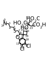 CN(C)CCCSCC(=O)C1(c2ccc(Cl)c(Cl)c2)CCC1.O=C(O)CC(O)(CC(=O)O)C(=O)O